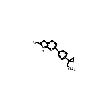 CC(=O)OCC1(c2ccc(-c3ccc4cc(Cl)[nH]c4n3)cc2)CC1